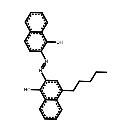 CCCCCc1cc(N=Nc2ccc3ccccc3c2O)c(O)c2ccccc12